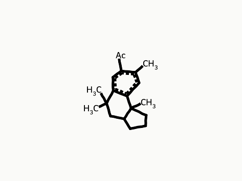 CC(=O)c1cc2c(cc1C)C1(C)CCCC1CC2(C)C